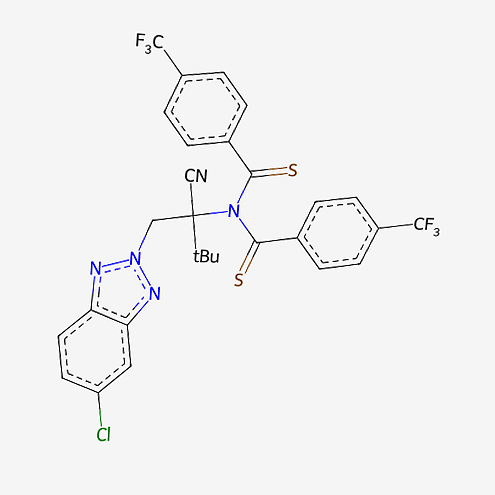 CC(C)(C)C(C#N)(Cn1nc2ccc(Cl)cc2n1)N(C(=S)c1ccc(C(F)(F)F)cc1)C(=S)c1ccc(C(F)(F)F)cc1